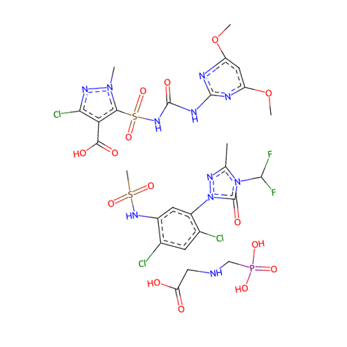 COc1cc(OC)nc(NC(=O)NS(=O)(=O)c2c(C(=O)O)c(Cl)nn2C)n1.Cc1nn(-c2cc(NS(C)(=O)=O)c(Cl)cc2Cl)c(=O)n1C(F)F.O=C(O)CNCP(=O)(O)O